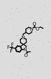 CCOC(=O)N1CCC(CN2CCC3(CC2)CN(C(C)=O)c2ccc(C(F)(F)F)cc23)CC1